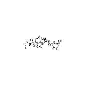 Cc1c(S(=O)(=O)N2CCCC2)ccc2[nH]c(COc3cccc(C#N)c3)nc12